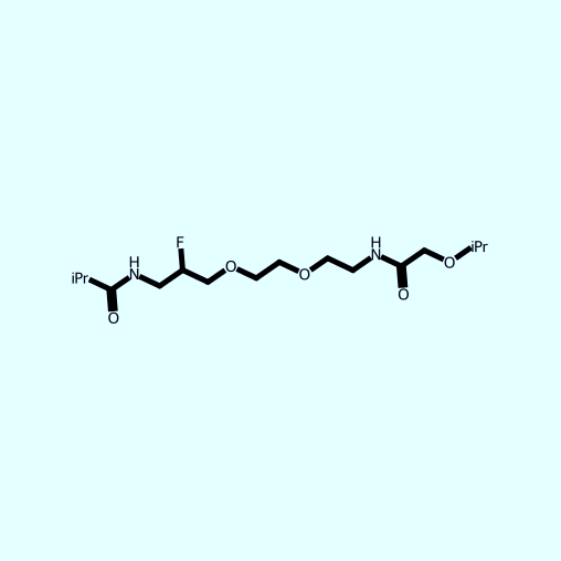 CC(C)OCC(=O)NCCOCCOCC(F)CNC(=O)C(C)C